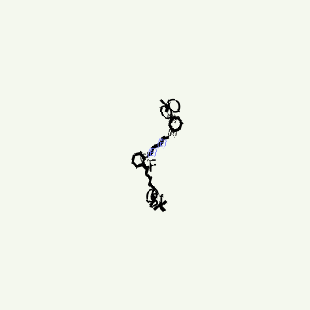 CC(=O)O[C@@H]1CCC[C@H](C/C=C/C=C/[C@@H]2CCCCC2=C(F)CCCCO[Si](C)(C)C(C)(C)C)C1